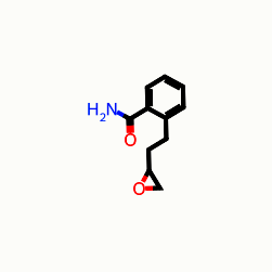 NC(=O)c1ccccc1CCC1CO1